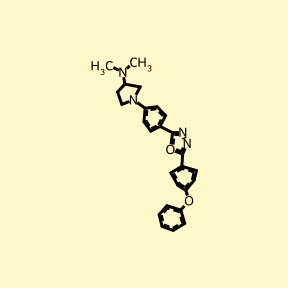 CN(C)C1CCN(c2ccc(-c3nnc(-c4ccc(Oc5ccccc5)cc4)o3)cc2)C1